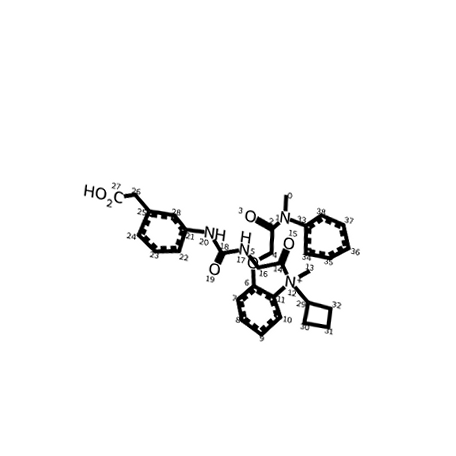 CN(C(=O)COc1ccccc1[N+](C)(C(=O)CNC(=O)Nc1cccc(CC(=O)O)c1)C1CCC1)c1ccccc1